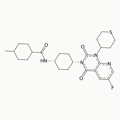 CC1CCC(C(=O)N[C@H]2CC[C@@H](n3c(=O)c4cc(F)cnc4n(C4CCSCC4)c3=O)CC2)CC1